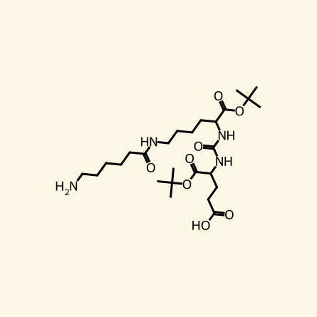 CC(C)(C)OC(=O)C(CCCCNC(=O)CCCCCN)NC(=O)NC(CCC(=O)O)C(=O)OC(C)(C)C